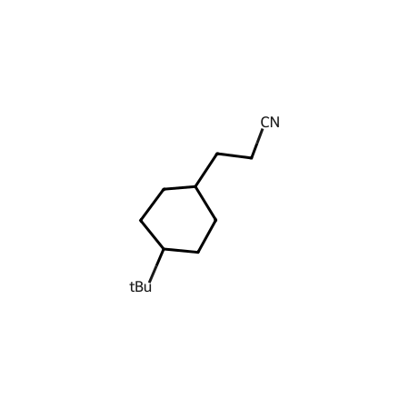 CC(C)(C)C1CCC(CCC#N)CC1